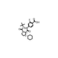 CC(C)(C)OC(=O)N1CC[C@@H](C2CCCCC2)[C@@H]1C(=O)Nc1ccc(C(=O)O)c(F)c1